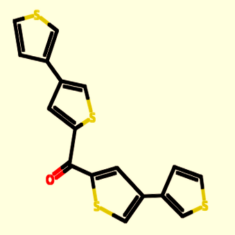 O=C(c1cc(-c2ccsc2)cs1)c1cc(-c2ccsc2)cs1